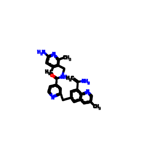 C=C(N)c1cc(Cc2cc(C(=O)NCc3c(C)cc(N)nc3C)ccn2)cc2cc(C)cnc12